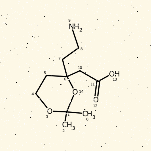 CC1(C)OCCC(CCN)(CC(=O)O)O1